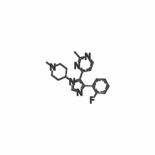 Cc1nccc(-c2c(-c3ccccc3F)ncn2C2CCN(C)CC2)n1